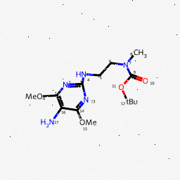 COc1nc(NCCN(C)C(=O)OC(C)(C)C)nc(OC)c1N